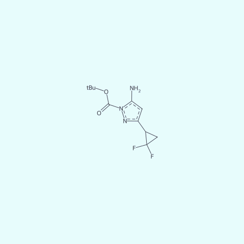 CC(C)(C)OC(=O)n1nc(C2CC2(F)F)cc1N